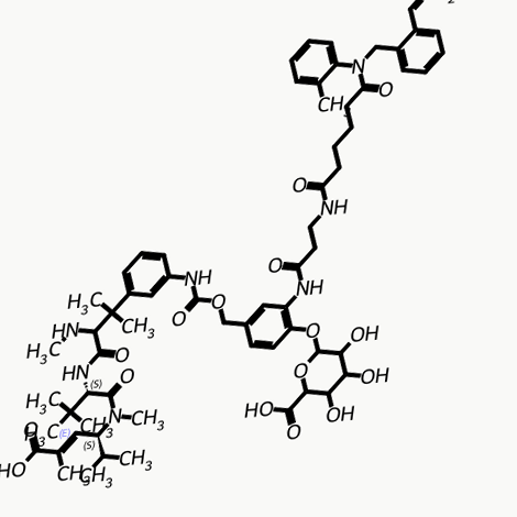 C=Cc1ccccc1CN(C(=O)CCCCC(=O)NCCC(=O)Nc1cc(COC(=O)Nc2cccc(C(C)(C)C(NC)C(=O)N[C@H](C(=O)N(C)[C@H](/C=C(\C)C(=O)O)C(C)C)C(C)(C)C)c2)ccc1OC1OC(C(=O)O)C(O)C(O)C1O)c1ccccc1C